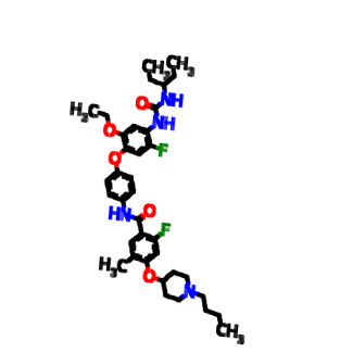 CCCCN1CCC(Oc2cc(F)c(C(=O)Nc3ccc(Oc4cc(F)c(NC(=O)NC(CC)CC)cc4OCC)cc3)cc2C)CC1